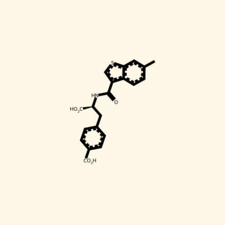 Cc1ccc2c(C(=O)N[C@@H](Cc3ccc(C(=O)O)cc3)C(=O)O)csc2c1